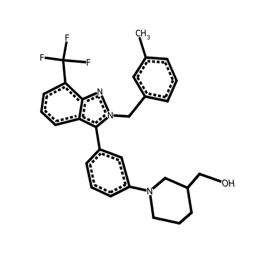 Cc1cccc(Cn2nc3c(C(F)(F)F)cccc3c2-c2cccc(N3CCCC(CO)C3)c2)c1